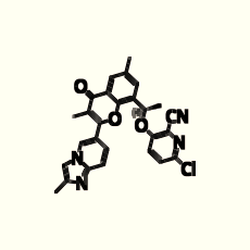 Cc1cc([C@@H](C)Oc2ccc(Cl)nc2C#N)c2oc(-c3ccc4nc(C)cn4c3)c(C)c(=O)c2c1